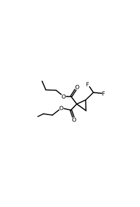 CCCOC(=O)C1(C(=O)OCCC)CC1C(F)F